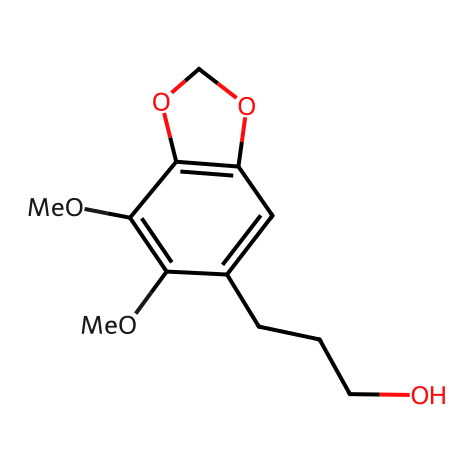 COc1c(CCCO)cc2c(c1OC)OCO2